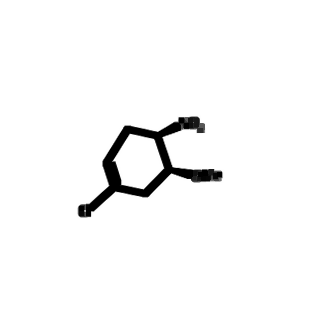 CO[C@H]1CC(Cl)=CC[C@H]1[N+](=O)[O-]